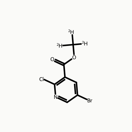 [2H]C([2H])([2H])OC(=O)c1cc(Br)cnc1Cl